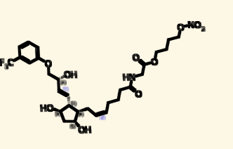 O=C(CCC/C=C\C[C@@H]1[C@@H](/C=C/[C@@H](O)COc2cccc(C(F)(F)F)c2)[C@H](O)C[C@@H]1O)NCC(=O)OCCCCO[N+](=O)[O-]